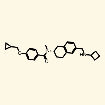 CN(C(=O)c1ccc(OCC2CC2)cc1)[C@H]1CCc2cc(CNC3CCC3)ccc2C1